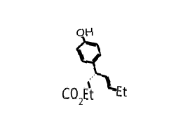 CC/C=C/[C@H](CC(=O)OCC)c1ccc(O)cc1